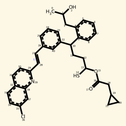 CC(O)Cc1ccccc1C(CCC(S)OC(=O)CC1CC1)c1cccc(/C=C/c2ccc3ccc(Cl)cc3n2)c1